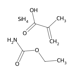 C=C(C)C(=O)O.CCOC(N)=O.[SiH4]